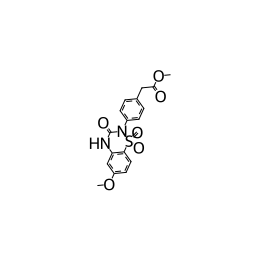 COC(=O)Cc1ccc(N2C(=O)Nc3cc(OC)ccc3S2(=O)=O)cc1